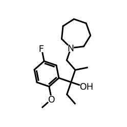 CCC(O)(c1cc(F)ccc1OC)C(C)CN1CCCCCC1